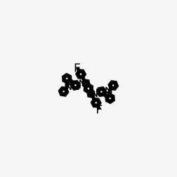 Fc1ccc(-c2cc3cc4c(cc(-c5ccc(F)cc5)n4-c4ccc5c(c4)c4ccccc4n5-c4ccccc4)cc3n2-c2ccc3c(c2)c2ccccc2n3-c2ccccc2)cc1